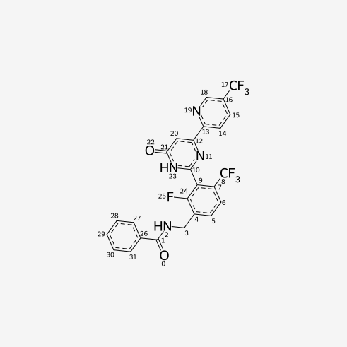 O=C(NCc1ccc(C(F)(F)F)c(-c2nc(-c3ccc(C(F)(F)F)cn3)cc(=O)[nH]2)c1F)c1ccccc1